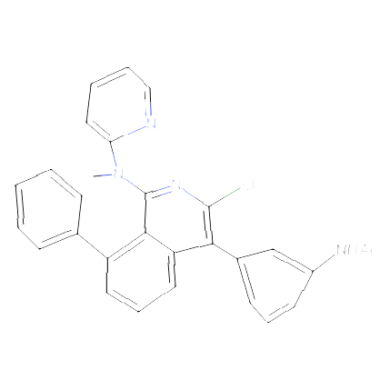 CC(=O)Nc1cccc(-c2c(Cl)nc(N(C)c3ccccn3)c3c(-c4ccccc4)cccc23)c1